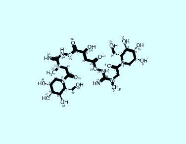 CN(CC(=O)N1C[C@@H](O)[C@@H](O)[C@H](O)[C@H]1CO)C(=N)NOC(=O)CC(O)C(=O)ONC(=N)N(C)CC(=O)N1C[C@@H](O)[C@@H](O)[C@H](O)[C@H]1CO